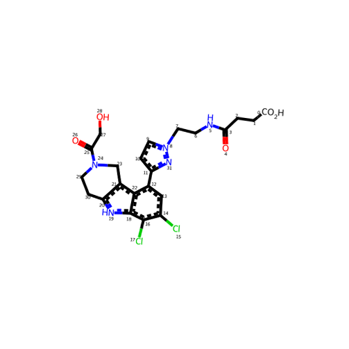 O=C(O)CCC(=O)NCCn1ccc(-c2cc(Cl)c(Cl)c3[nH]c4c(c23)CN(C(=O)CO)CC4)n1